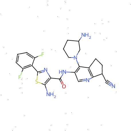 N#CC1CCc2c1ncc(NC(=O)c1nc(-c3c(F)cccc3F)sc1N)c2N1CCCC(N)C1